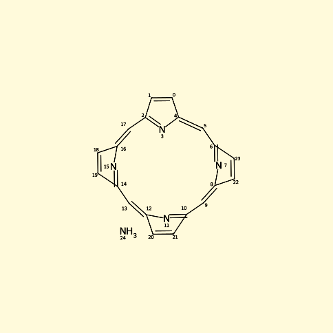 C1=CC2=NC1=CC1=NC(=CC3=NC(=CC4=NC(=C2)C=C4)C=C3)C=C1.N